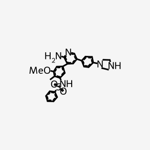 COc1cc(-c2cc(-c3ccc(N4CCNCC4)cc3)cnc2N)cc(NS(=O)(=O)c2ccccc2)c1C